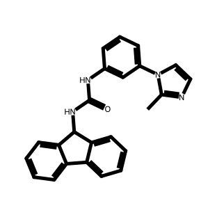 Cc1nccn1-c1cccc(NC(=O)NC2c3ccccc3-c3ccccc32)c1